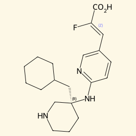 O=C(O)/C(F)=C/c1ccc(N[C@@]2(CC3CCCCC3)CCCNC2)nc1